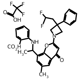 Cc1cc(C(C)Nc2ccccc2C(=O)O)c2oc(N3CC(CC(F)F)(c4ccccc4)C3)cc(=O)c2c1.O=C(O)C(F)(F)F